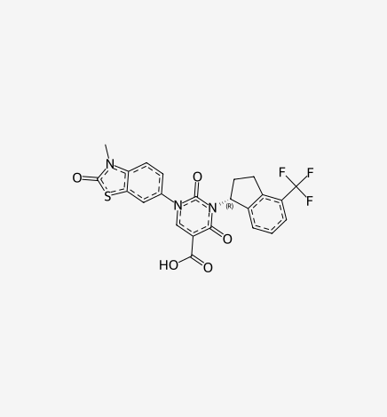 Cn1c(=O)sc2cc(-n3cc(C(=O)O)c(=O)n([C@@H]4CCc5c4cccc5C(F)(F)F)c3=O)ccc21